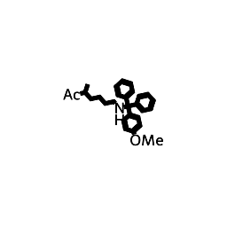 COc1ccc(C(NCCCCC(C)C(C)=O)(c2ccccc2)c2ccccc2)cc1